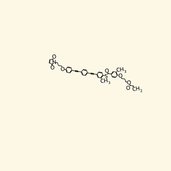 C=CC(=O)OCCCOc1ccc(C(=O)Sc2ccc(C#Cc3ccc(C#Cc4ccc(OCCCN5C(=O)C=CC5=O)cc4)cc3)cc2C)cc1C